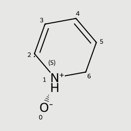 [O-][N@@H+]1[C]=CC=CC1